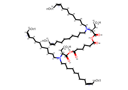 CCCCCCCC/C=C\CCCCCCCCN(CCCCCCCC/C=C\CCCCCCCC)[C@@H](CC(=O)O)C(=O)OC(=O)CCCCC(=O)OC(=O)[C@H](CC(=O)O)N(CCCCCCCC/C=C\CCCCCCCC)CCCCCCCC/C=C\CCCCCCCC